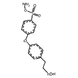 CCCCCCCCCCCCc1ccc(Oc2ccc(S(=O)(=O)ON)cc2)cc1